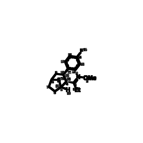 CCC(=NOC)[C@@H]1[C@@H]2CCC(C[C@H]1c1ccc(F)cc1)S2